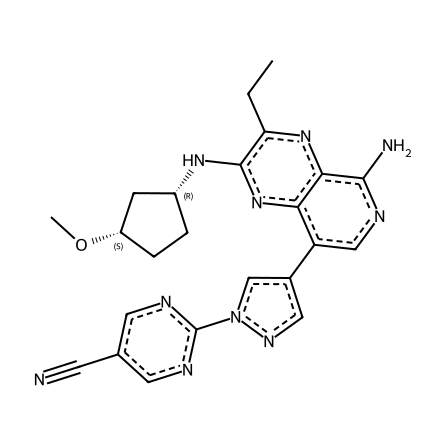 CCc1nc2c(N)ncc(-c3cnn(-c4ncc(C#N)cn4)c3)c2nc1N[C@@H]1CC[C@H](OC)C1